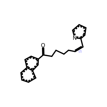 O=C(CCCC/C=C\c1ccccn1)c1ccc2ccccc2c1